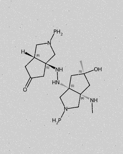 CN[C@]12CN(P)C[C@@]1(NN[C@@]13CC(=O)C[C@@H]1CN(P)C3)C[C@@](C)(O)C2